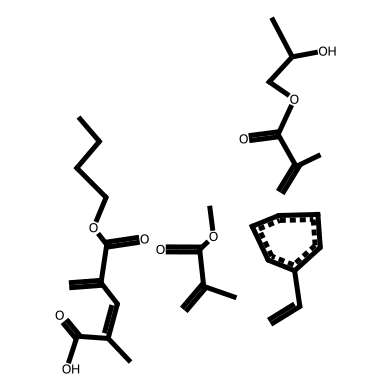 C=C(C)C(=O)OC.C=C(C)C(=O)OCC(C)O.C=C(C=C(C)C(=O)O)C(=O)OCCCC.C=Cc1ccccc1